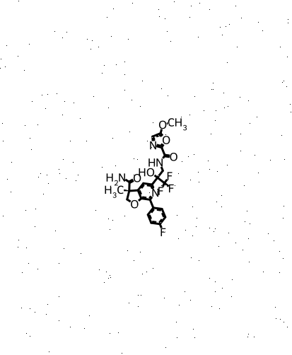 COc1cnc(C(=O)NCC(O)(c2cc3c(c(-c4ccc(F)cc4)n2)OC[C@]3(C)C(N)=O)C(F)(F)F)o1